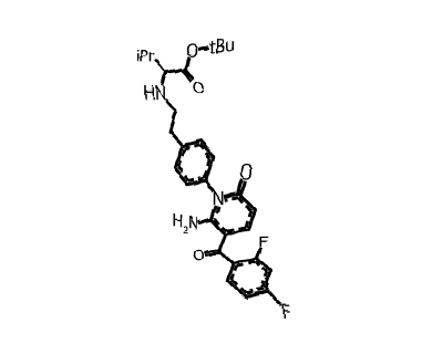 CC(C)[C@H](NCCc1ccc(-n2c(N)c(C(=O)c3ccc(F)cc3F)ccc2=O)cc1)C(=O)OC(C)(C)C